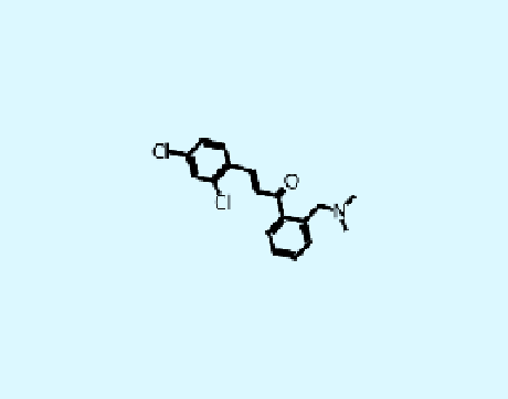 CN(C)Cc1ccccc1C(=O)C=Cc1ccc(Cl)cc1Cl